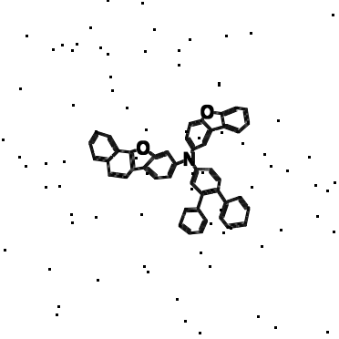 c1ccc(-c2ccc(N(c3ccc4c(c3)oc3c5ccccc5ccc43)c3ccc4oc5ccccc5c4c3)cc2-c2ccccc2)cc1